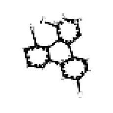 Fc1cccc(Cl)c1-c1c(-c2ccc(Cl)cc2)cnnc1Cl